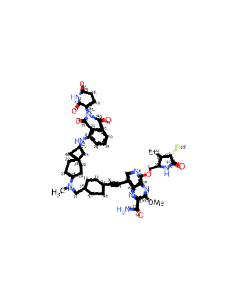 CCC1C(COc2ncc(C#CC3CCC(CN(C)C4CCC5(CC4)CC(Nc4cccc6c4C(=O)N(C4CCC(=O)NC4=O)C6=O)C5)CC3)c3nc(C(N)=O)c(OC)nc23)NC(=O)[C@H]1F